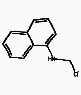 ClCNc1cccc2ccccc12